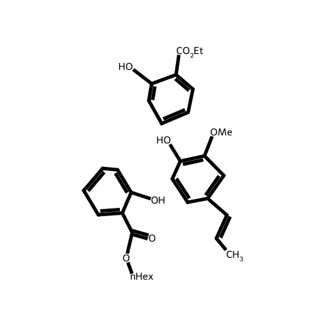 C/C=C/c1ccc(O)c(OC)c1.CCCCCCOC(=O)c1ccccc1O.CCOC(=O)c1ccccc1O